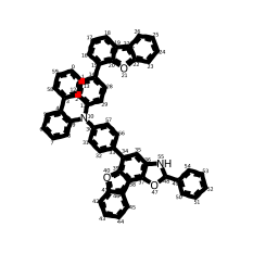 c1ccc(-c2ccccc2N(c2ccc(-c3cccc4c3oc3ccccc34)cc2)c2ccc(-c3cc4c(c5c3oc3ccccc35)OC(c3ccccc3)N4)cc2)cc1